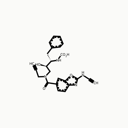 C#CCN(C[C@@H](O)[C@H](Cc1ccccc1)NC(=O)O)C(=O)c1ccc2nc(NC#C)oc2c1